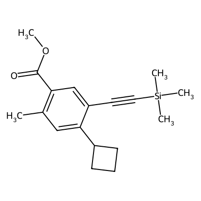 COC(=O)c1cc(C#C[Si](C)(C)C)c(C2CCC2)cc1C